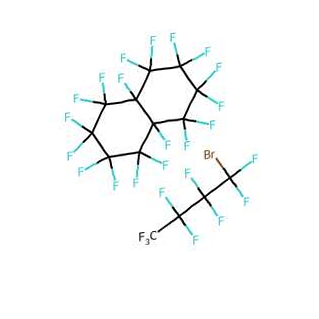 FC(F)(F)C(F)(F)C(F)(F)C(F)(F)Br.FC1(F)C(F)(F)C(F)(F)C2(F)C(F)(F)C(F)(F)C(F)(F)C(F)(F)C2(F)C1(F)F